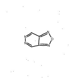 c1nncc2nonc12